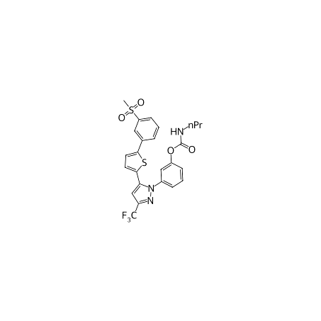 CCCNC(=O)Oc1cccc(-n2nc(C(F)(F)F)cc2-c2ccc(-c3cccc(S(C)(=O)=O)c3)s2)c1